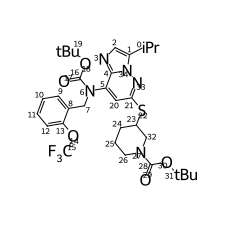 CC(C)c1cnc2c(N(Cc3ccccc3OC(F)(F)F)C(=O)OC(C)(C)C)cc(SC3CCCN(C(=O)OC(C)(C)C)C3)nn12